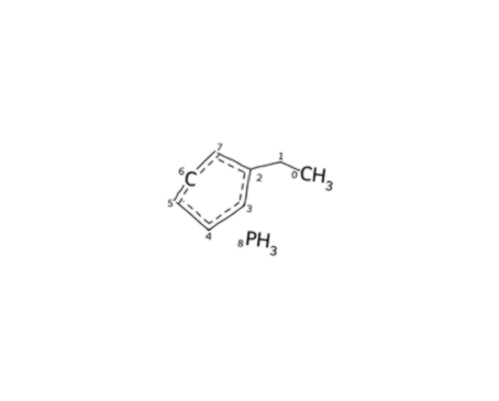 CCc1ccccc1.P